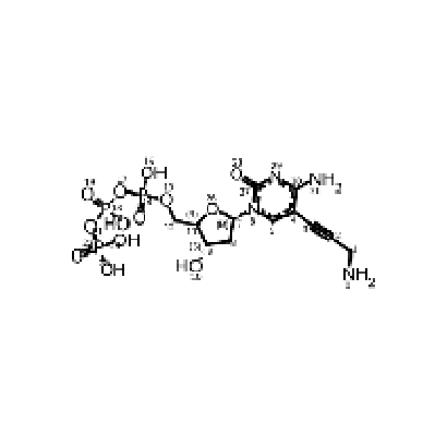 NCC#Cc1cn([C@H]2C[C@H](O)[C@@H](COP(=O)(O)OP(=O)(O)OP(=O)(O)O)O2)c(=O)nc1N